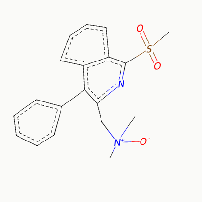 C[N+](C)([O-])Cc1nc(S(C)(=O)=O)c2ccccc2c1-c1ccccc1